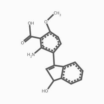 COc1ccc(C2=CC(O)c3ccccc32)c(N)c1C(=O)O